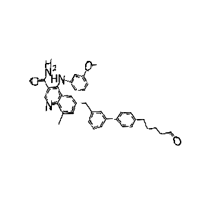 COc1cccc(Nc2c(C(N)=O)cnc3c(C)cc(Cc4cccc(-c5ccc(CCCCC=O)cc5)c4)cc23)c1